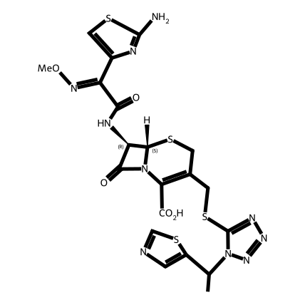 CON=C(C(=O)N[C@@H]1C(=O)N2C(C(=O)O)=C(CSc3nnnn3C(C)c3cncs3)CS[C@@H]12)c1csc(N)n1